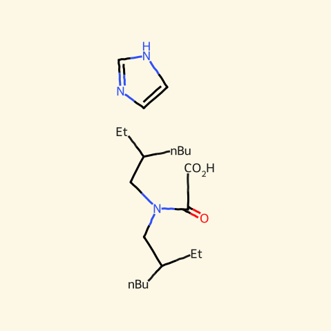 CCCCC(CC)CN(CC(CC)CCCC)C(=O)C(=O)O.c1c[nH]cn1